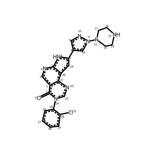 O=c1c2cnc3[nH]c(-c4cnn(N5CCNCC5)c4)cc3c2ncn1-c1ccccc1Cl